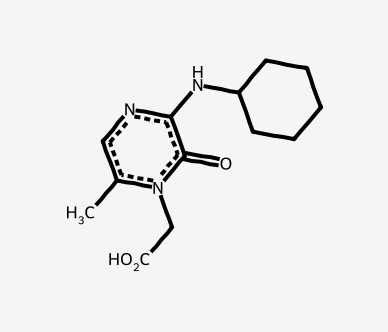 Cc1cnc(NC2CCCCC2)c(=O)n1CC(=O)O